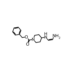 N/C=C\NC1CCN(C(=O)OCc2ccccc2)CC1